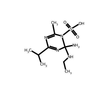 CCNC1(N)N=C(C(C)C)N=C(C)N1S(=O)(=O)O